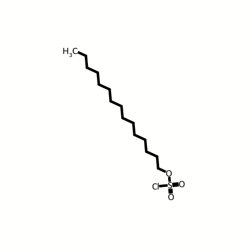 CCCCCCCCCCCCCCCOS(=O)(=O)Cl